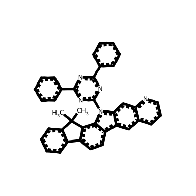 CC1(C)c2ccccc2-c2ccc3c4cc5cccnc5cc4n(-c4nc(-c5ccccc5)nc(-c5ccccc5)n4)c3c21